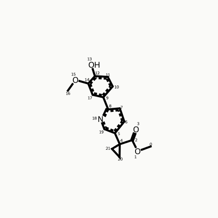 COC(=O)C1(c2ccc(-c3ccc(O)c(OC)c3)nc2)CC1